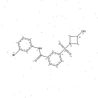 O=C(Nc1cccc(Br)c1)c1cccc(S(=O)(=O)N2CC(O)C2)c1